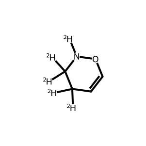 [2H]N1OC=CC([2H])([2H])C1([2H])[2H]